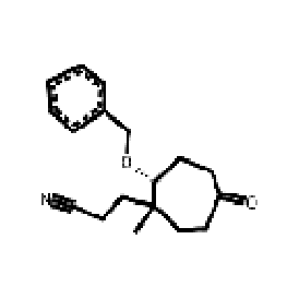 CC1(CCC#N)CCC(=O)CC[C@H]1OCc1ccccc1